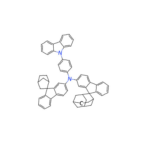 c1ccc2c(c1)-c1ccc(N(c3ccc(-n4c5ccccc5c5ccccc54)cc3)c3ccc4c(c3)C3(c5ccccc5-4)C4CCC5CC(C4)CC3C5)cc1C21CC2CCC1C2